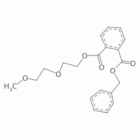 COCCOCCOC(=O)c1ccccc1C(=O)OCc1ccccc1